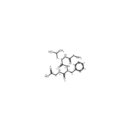 CC(C)C[C@H](NC(=O)CN)C(=O)N[C@@H](Cc1ccccc1)C(=O)NCC(=O)O